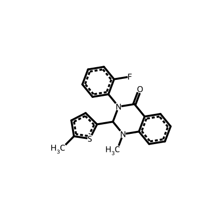 Cc1ccc(C2N(C)c3ccccc3C(=O)N2c2ccccc2F)s1